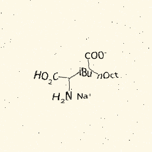 CCC(C)C(N)C(=O)O.CCCCCCCCCC(=O)[O-].[Na+]